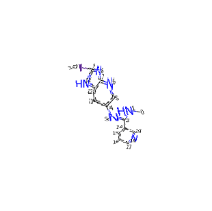 CN/C(=N\c1cnc2nc(I)[nH]c2c1)c1cccnc1